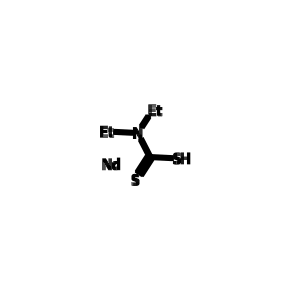 CCN(CC)C(=S)S.[Nd]